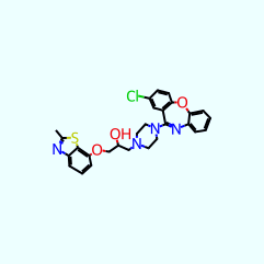 Cc1nc2cccc(OCC(O)CN3CCN(C4=Nc5ccccc5Oc5ccc(Cl)cc54)CC3)c2s1